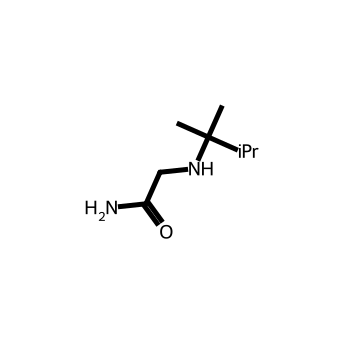 CC(C)C(C)(C)NCC(N)=O